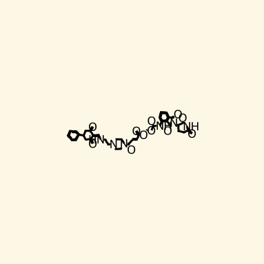 O=C1CCC(N2C(=O)c3cccc(NC(=O)OCOC(=O)/C=C/C(=O)N4CCN(CCNC=C5C(=O)CC(c6ccccc6)CC5=O)CC4)c3C2=O)C(=O)N1